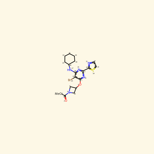 COC(=O)N1CC(Oc2nc(-c3nccs3)nc(NC3CCCCC3)c2Br)C1